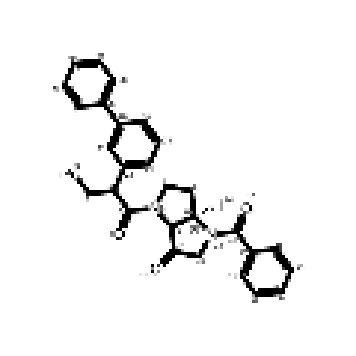 CC(C)CC(C(=O)N1CC[C@@H]2C1C(=O)CN2C(=O)c1ccccc1)c1cccc(-c2ccccc2)c1